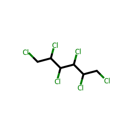 ClCC(Cl)C(Cl)C(Cl)C(Cl)CCl